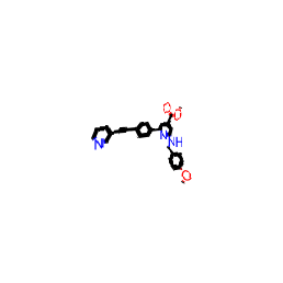 COC(=O)c1cc(NCc2ccc(OC)cc2)nc(-c2ccc(C#Cc3cccnc3)cc2)c1